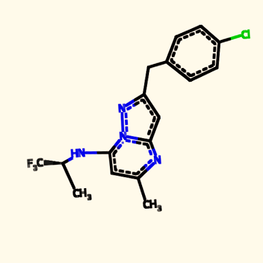 Cc1cc(N[C@@H](C)C(F)(F)F)n2nc(Cc3ccc(Cl)cc3)cc2n1